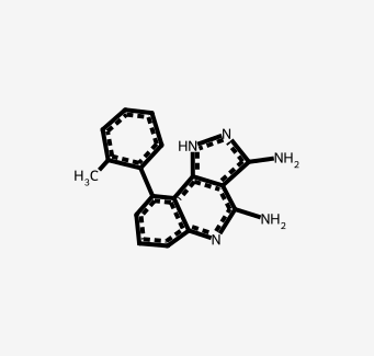 Cc1ccccc1-c1cccc2nc(N)c3c(N)n[nH]c3c12